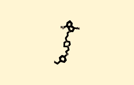 Bc1cccc2c(C(C)=O)cn(CCCN3CCN(CCOc4ccc(CI)cc4)CC3)c12